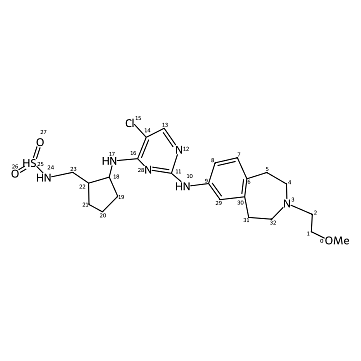 COCCN1CCc2ccc(Nc3ncc(Cl)c(NC4CCCC4CN[SH](=O)=O)n3)cc2CC1